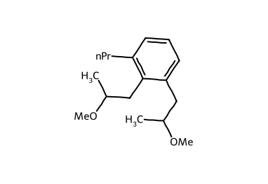 CCCc1cccc(CC(C)OC)c1CC(C)OC